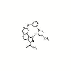 CN1CCN(c2cccc(Oc3ncc4ccc5c(C(N)=O)nn(C)c5c4n3)c2)CC1